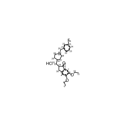 CCOc1cc2c(cc1OCC)C(=O)C(CC1CCN(Cc3cccc(F)c3)CC1)C2.Cl